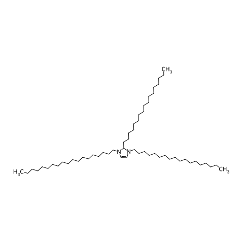 CCCCCCCCCCCCCCCCCCCN1C=CN(CCCCCCCCCCCCCCCCCC)C1CCCCCCCCCCCCCCCCC